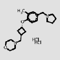 Cc1cc(CN2CCCC2)ccc1O[C@H]1C[C@H](CN2CCOCC2)C1.Cl.Cl